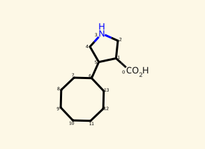 O=C(O)C1CNCC1C1CCCCCCC1